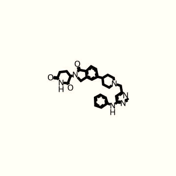 O=C1CCC(N2Cc3cc(C4CCN(Cc5cc(Nc6ccccc6)ncn5)CC4)ccc3C2=O)C(=O)N1